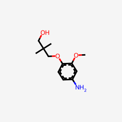 COc1cc(N)ccc1OCC(C)(C)CO